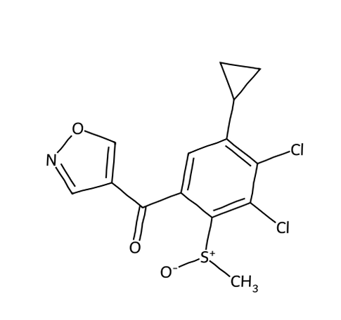 C[S+]([O-])c1c(C(=O)c2cnoc2)cc(C2CC2)c(Cl)c1Cl